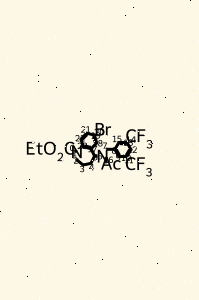 CCOC(=O)N1CCCC(N(Cc2cc(C(F)(F)F)cc(C(F)(F)F)c2)C(C)=O)c2cc(Br)ccc21